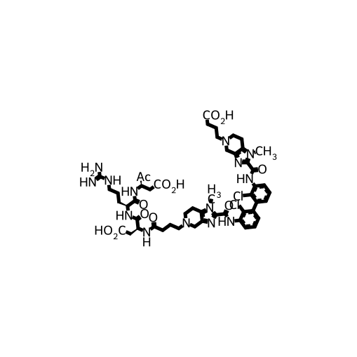 CC(=O)[C@H](CC(=O)O)NC(=O)[C@H](CCCNC(=N)N)NC(=O)[C@H](CC(=O)O)NC(=O)CCCN1CCc2c(nc(C(=O)Nc3cccc(-c4cccc(NC(=O)c5nc6c(n5C)CCN(CCCC(=O)O)C6)c4Cl)c3Cl)n2C)C1